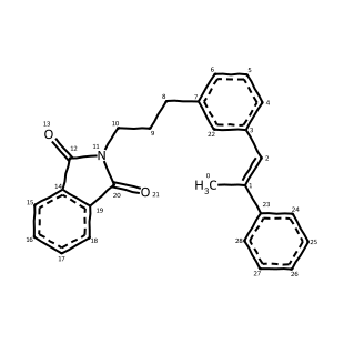 CC(=Cc1cccc(CCCN2C(=O)c3ccccc3C2=O)c1)c1ccccc1